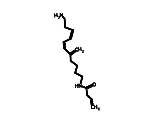 C=CCC(=O)NCCCCC(=C)/C=C\C=C/CCN